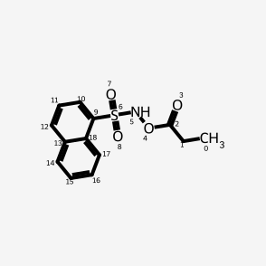 CCC(=O)ONS(=O)(=O)c1cccc2ccccc12